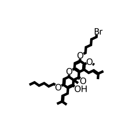 CCCCCCOC1=CC2Oc3cc(OCCCCCBr)c(OC)c(CC=C(C)C)c3C(=O)C2(C)C(O)=C1CC=C(C)C